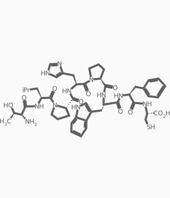 CC(C)C[C@H](NC(=O)[C@@H](N)[C@@H](C)O)C(=O)N1CCC[C@H]1C(=O)N[C@@H](Cc1c[nH]cn1)C(=O)N1CCC[C@H]1C(=O)N[C@@H](Cc1c[nH]c2ccccc12)C(=O)N[C@@H](Cc1ccccc1)C(=O)N[C@@H](CS)C(=O)O